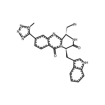 CC(C)C[C@@H]1NC(=O)[C@@H](Cc2c[nH]c3ccccc23)n2c1nc1cc(-c3nnnn3C)ccc1c2=O